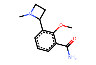 COc1c(C(N)=O)cccc1C1CCN1C